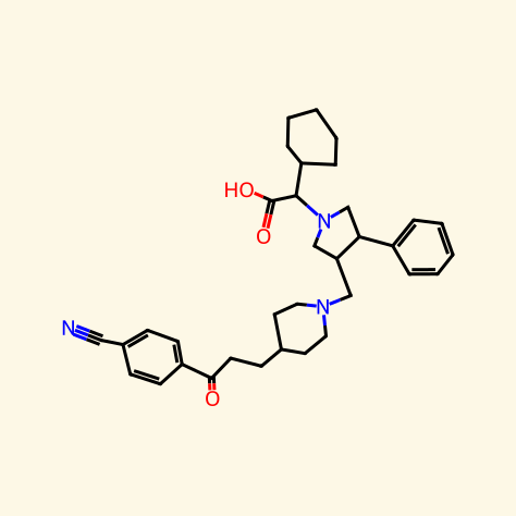 N#Cc1ccc(C(=O)CCC2CCN(CC3CN(C(C(=O)O)C4CCCCC4)CC3c3ccccc3)CC2)cc1